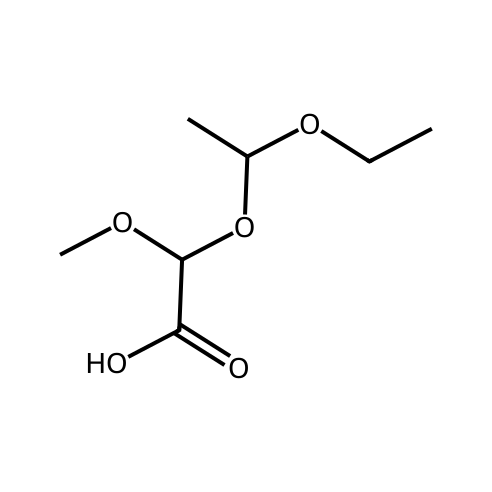 CCOC(C)OC(OC)C(=O)O